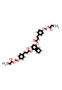 C=CC(=O)OCOc1ccc(/C=C/C(=O)Oc2ccc(OC(=O)/C=C/c3ccc(OCOC(=O)C=C)cc3)c3c2C2CCC3C2)cc1